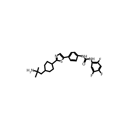 CC(C)(N)CC1CCC(c2ncc(-c3ccc(NC(=O)Nc4cc(F)c(F)cc4F)cc3)s2)CC1